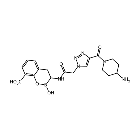 NC1CCN(C(=O)c2cn(CC(=O)NC3Cc4cccc(C(=O)O)c4OB3O)nn2)CC1